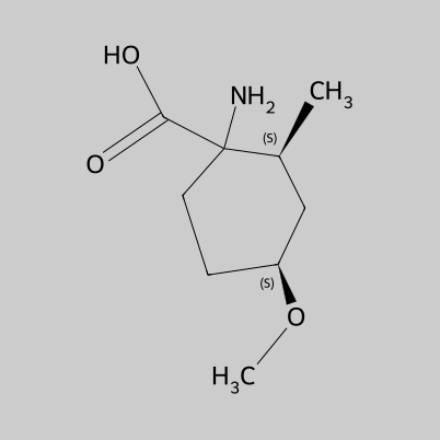 CO[C@H]1CCC(N)(C(=O)O)[C@@H](C)C1